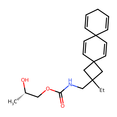 CCC1(CNC(=O)OC[C@H](C)O)CC2(C=CC3(C=CCC=C3)C=C2)C1